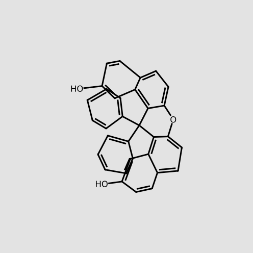 Oc1ccc2ccc3c(c2c1)C(c1ccccc1)(c1ccccc1)c1c(ccc2ccc(O)cc12)O3